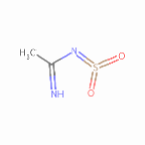 CC(=N)N=S(=O)=O